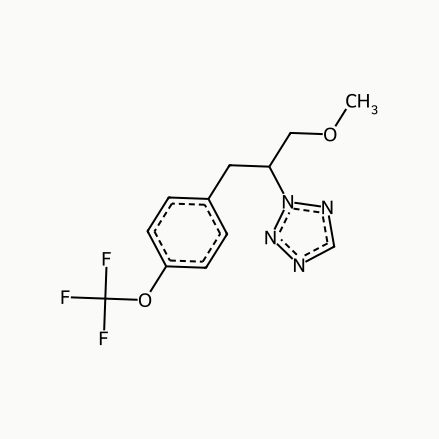 COCC(Cc1ccc(OC(F)(F)F)cc1)n1ncnn1